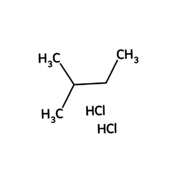 CCC(C)C.Cl.Cl